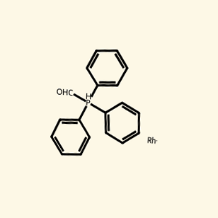 O=C[PH](c1ccccc1)(c1ccccc1)c1ccccc1.[Rh]